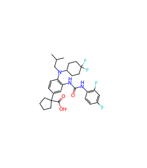 CC(C)CN(c1ccc(C2(C(=O)O)CCCC2)cc1NC(=O)Nc1ccc(F)cc1F)C1CCC(F)(F)CC1